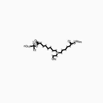 CCCCCCCCCOC(=O)CCCCCN(CCO)CCCCCCCC(=O)OC(CC)(CCCCCCCC)CCCCCCCC